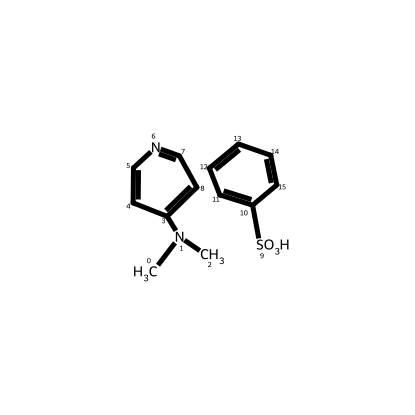 CN(C)c1ccncc1.O=S(=O)(O)c1ccccc1